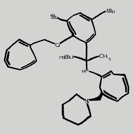 CCCCC(C)(Pc1ccccc1N1CCCCC1)c1cc(C(C)(C)C)cc(C(C)(C)C)c1OCc1ccccc1